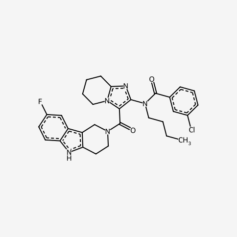 CCCCN(C(=O)c1cccc(Cl)c1)c1nc2n(c1C(=O)N1CCc3[nH]c4ccc(F)cc4c3C1)CCCC2